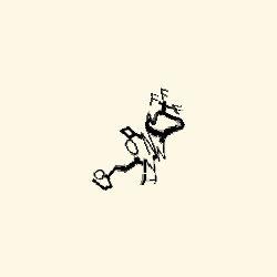 O=C(CCC1CCCO1)Nc1nc2ccc(C(F)(F)F)nc2n1C1CCC1